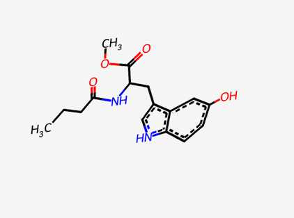 CCCC(=O)NC(Cc1c[nH]c2ccc(O)cc12)C(=O)OC